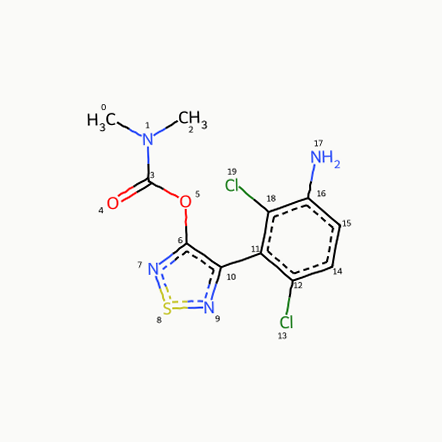 CN(C)C(=O)Oc1nsnc1-c1c(Cl)ccc(N)c1Cl